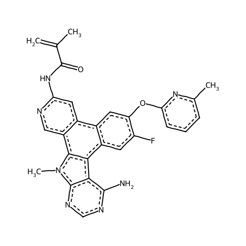 C=C(C)C(=O)Nc1cc2c3cc(Oc4cccc(C)n4)c(F)cc3c3c4c(N)ncnc4n(C)c3c2cn1